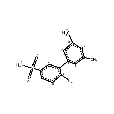 Cc1cc(-c2cc(S(N)(=O)=O)ccc2F)cc(C)n1